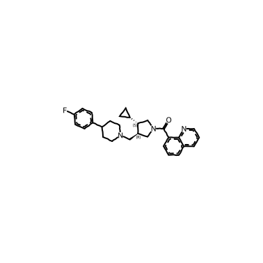 O=C(c1cccc2cccnc12)N1C[C@@H](CN2CCC(c3ccc(F)cc3)CC2)[C@H](C2CC2)C1